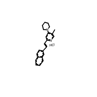 Cc1cnc(/C=C/c2ccc3ccccc3c2)cc1N1CCCCC1.Cl